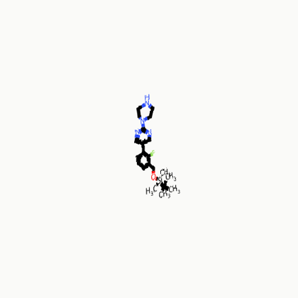 CC(C)(C)[Si](C)(C)OCc1cccc(-c2cnc(N3CCNCC3)nc2)c1F